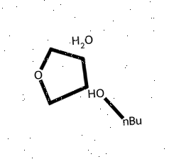 C1CCOC1.CCCCO.O